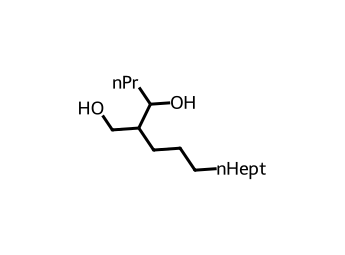 CCCCCCCCCCC(CO)C(O)CCC